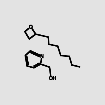 CCCCCCCC1CCO1.OCc1ccccn1